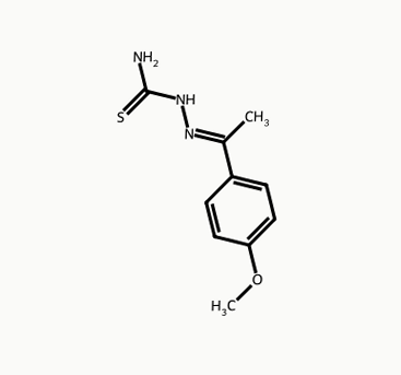 COc1ccc(C(C)=NNC(N)=S)cc1